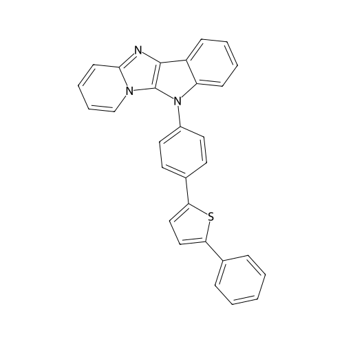 c1ccc(-c2ccc(-c3ccc(-n4c5ccccc5c5nc6ccccn6c54)cc3)s2)cc1